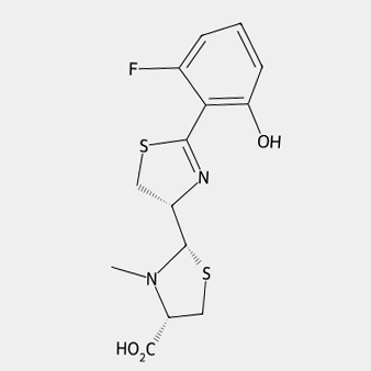 CN1[C@@H](C(=O)O)CS[C@H]1[C@@H]1CSC(c2c(O)cccc2F)=N1